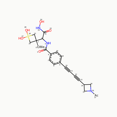 COC1(C(NC(=O)c2ccc(C#CC#CC3CN(C(C)=O)C3)cc2)C(=O)NO)CS(O)(O)C1